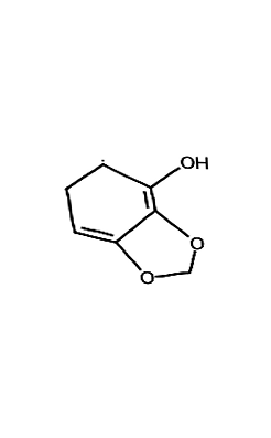 OC1=C2OCOC2=CC[CH]1